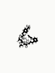 CCCOc1ccccc1CCCNC(=O)[C@H](CCC)NC(=O)[C@H](NC(=O)[C@H](C)Cc1ccc(C(F)(F)F)cc1)C(C)C